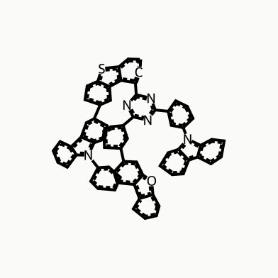 c1ccc(-n2c3ccccc3c3cc(-c4ccc5sc6cccc(-c7nc(-c8cccc(-c9ccc%10c(c9)oc9ccccc9%10)c8)nc(-c8cccc(-n9c%10ccccc%10c%10ccccc%109)c8)n7)c6c5c4)ccc32)cc1